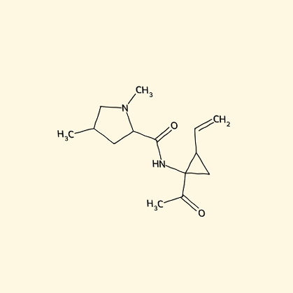 C=CC1CC1(NC(=O)C1CC(C)CN1C)C(C)=O